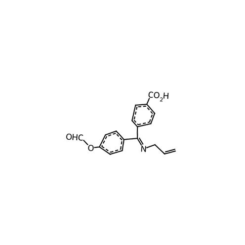 C=CC/N=C(/c1ccc(OC=O)cc1)c1ccc(C(=O)O)cc1